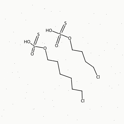 O=S(O)(=S)OCCCCCCCl.O=S(O)(=S)OCCCCCl